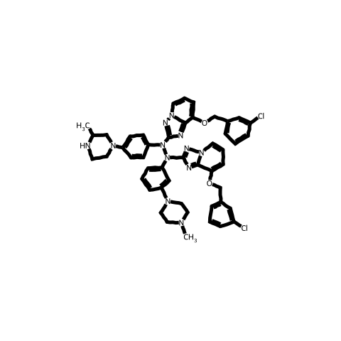 CC1CN(c2ccc(N(c3nc4c(OCc5cccc(Cl)c5)cccn4n3)N(c3cccc(N4CCN(C)CC4)c3)c3nc4c(OCc5cccc(Cl)c5)cccn4n3)cc2)CCN1